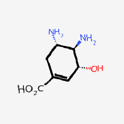 N[C@H]1[C@H](O)C=C(C(=O)O)C[C@@H]1N